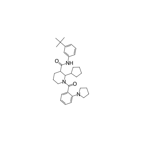 CC(C)(C)c1cccc(NC(=O)C2CCCN(C(=O)c3ccccc3N3CCCC3)C2C2CCCC2)c1